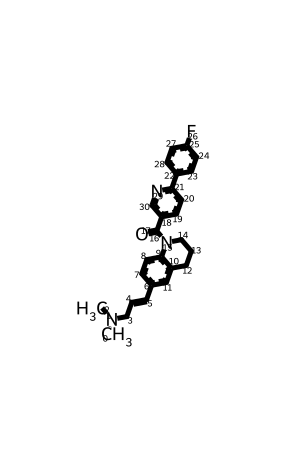 CN(C)CC=Cc1ccc2c(c1)CCCN2C(=O)c1ccc(-c2ccc(F)cc2)nc1